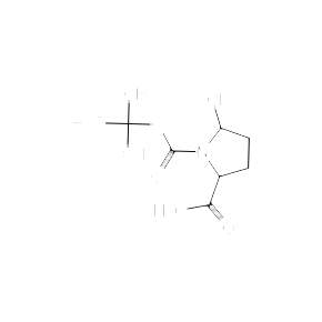 CC(=O)C1CCC(C)N1C(=O)OC(C)(C)C